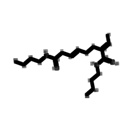 C/C=C(\CC/C=C/CC(=O)OCCCC)C(=O)OCCCC